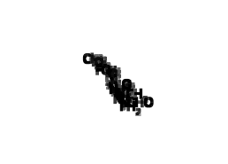 Cc1c(C=O)n(P)c2nc(CN3CC=C(c4cccc(OCc5ccc(Cl)cc5F)n4)CC3)n(CC3CCO3)c12